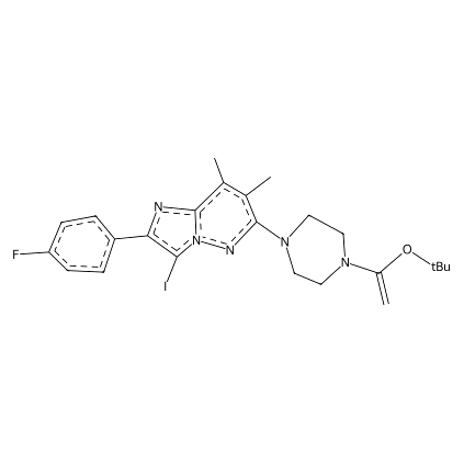 C=C(OC(C)(C)C)N1CCN(c2nn3c(I)c(-c4ccc(F)cc4)nc3c(C)c2C)CC1